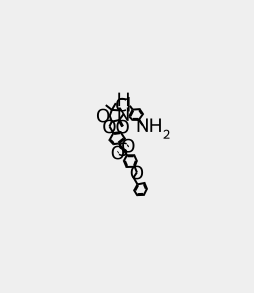 CC(C)(C)C(=O)C(Oc1ccc(S(=O)(=O)c2ccc(OCc3ccccc3)cc2)cc1)C(=O)Nc1cc(N)ccc1Cl